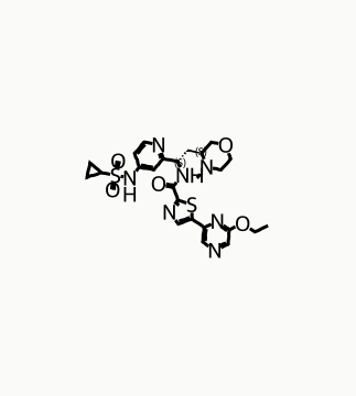 CCOc1cncc(-c2cnc(C(=O)N[C@@H](C[C@H]3COCCN3C)c3cc(NS(=O)(=O)C4CC4)ccn3)s2)n1